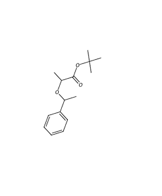 CC(OC(C)c1ccccc1)C(=O)OC(C)(C)C